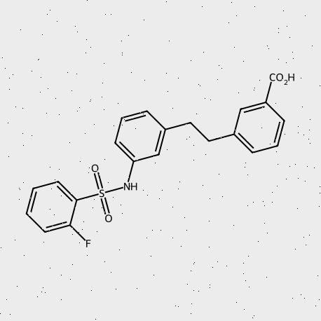 O=C(O)c1cccc(CCc2cccc(NS(=O)(=O)c3ccccc3F)c2)c1